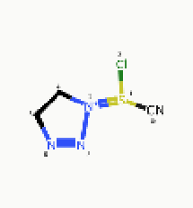 N#CS(Cl)=[N+]1CCN=N1